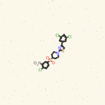 O=[N+]([O-])c1cc(S(=O)(=O)C2CCN(c3nc(-c4cc(Cl)cc(Cl)c4)cs3)CC2)ccc1Cl